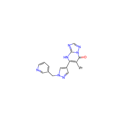 CC(C)c1c(-c2cnn(Cc3cccnc3)c2)[nH]c2ncnn2c1=O